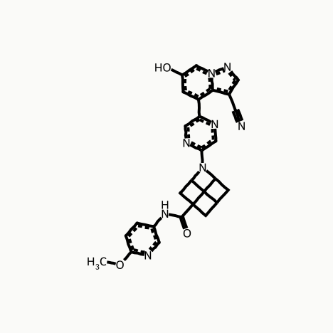 COc1ccc(NC(=O)C23CC4CC5N(c6cnc(-c7cc(O)cn8ncc(C#N)c78)cn6)C(C2)C453)cn1